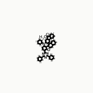 CC1(C)C2=C(C=CCC2)c2ccc(N(c3ccccc3)c3ccc(-c4nc(-c5ccccc5)nc(-c5ccccc5)n4)c4oc5cc6ccccc6cc5c34)cc21